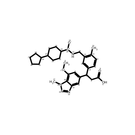 COc1cc(C(CC(=O)O)c2ccc(C)c(CN[S+]([O-])C3CCC(C4CCCC4)CC3)c2)cc2nnn(C)c12